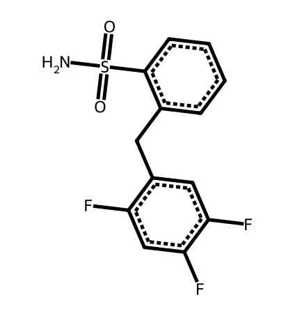 NS(=O)(=O)c1ccccc1Cc1cc(F)c(F)cc1F